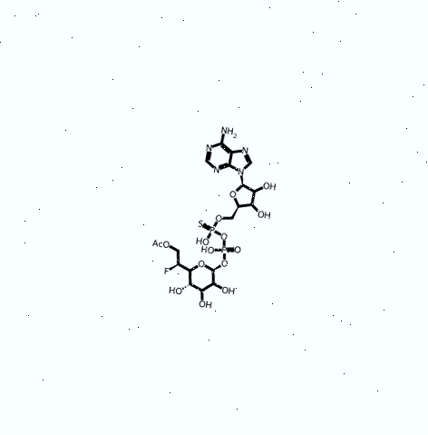 CC(=O)OC[C@H](F)C1O[C@@H](OP(=O)(O)OP(O)(=S)OC[C@H]2O[C@@H](n3cnc4c(N)ncnc43)C(O)C2O)C(O)C(O)[C@@H]1O